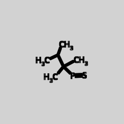 CC(C)C(C)(C)P=S